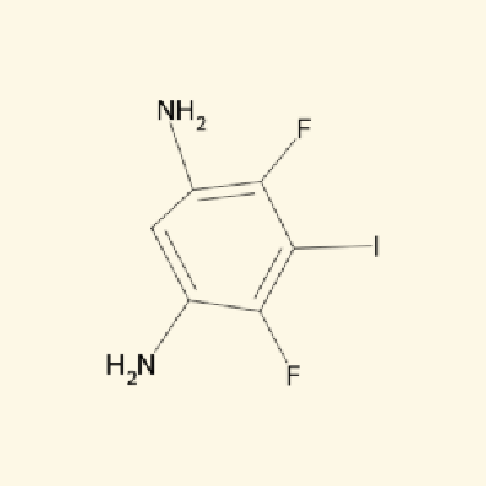 Nc1cc(N)c(F)c(I)c1F